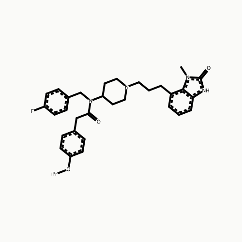 CC(C)Oc1ccc(CC(=O)N(Cc2ccc(F)cc2)C2CCN(CCCc3cccc4[nH]c(=O)n(C)c34)CC2)cc1